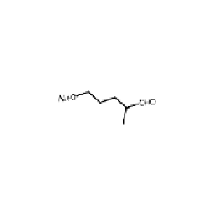 COCCCC(C)C=O